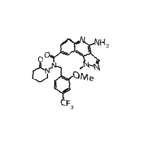 COc1cc(C(F)(F)F)ccc1CN(C(=O)c1ccc2nc(N)c3cnn(C)c3c2c1)N1CCCCC1=O